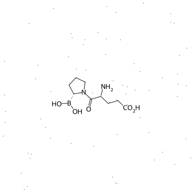 NC(CCC(=O)O)C(=O)N1CCC[C@H]1B(O)O